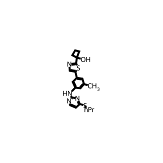 CCCSc1ccnc(Nc2cc(C)cc(-c3cnc(C4(O)CCC4)s3)c2)n1